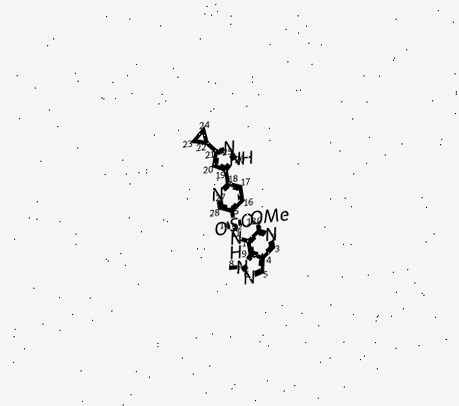 COc1ncc2cnn(C)c2c1NS(=O)(=O)c1ccc(-c2cc(C3CC3)n[nH]2)nc1